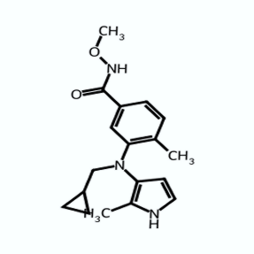 CONC(=O)c1ccc(C)c(N(CC2CC2)c2cc[nH]c2C)c1